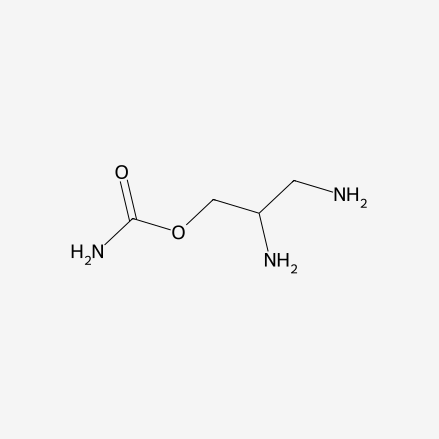 NCC(N)COC(N)=O